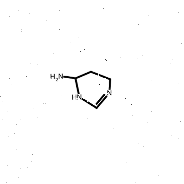 NC1CCN=CN1